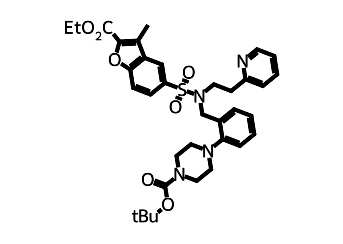 CCOC(=O)c1oc2ccc(S(=O)(=O)N(CCc3ccccn3)Cc3ccccc3N3CCN(C(=O)OC(C)(C)C)CC3)cc2c1C